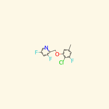 Cc1cc(F)c(Cl)c(OCc2ncc(F)cc2F)c1